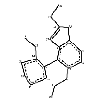 CCCc1ccc2c(c1-c1ccccc1CC)C=C(CC)[CH]2